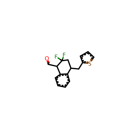 O=CC1c2ccccc2C(Cc2cccs2)CC1(F)F